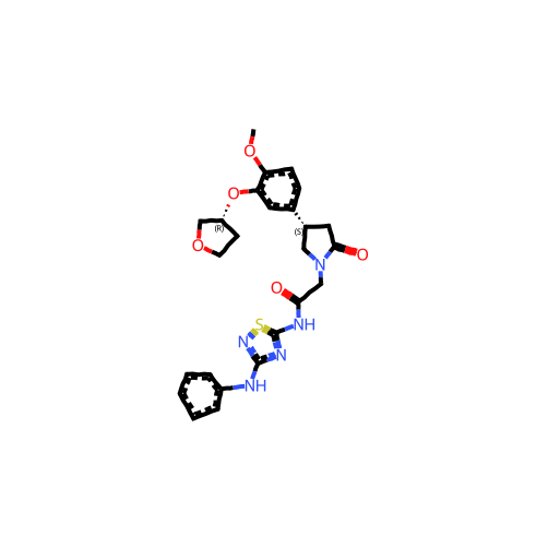 COc1ccc([C@@H]2CC(=O)N(CC(=O)Nc3nc(Nc4ccccc4)ns3)C2)cc1O[C@@H]1CCOC1